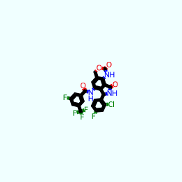 O=C1Nc2c(cc(NC(=O)c3cc(F)cc(C(F)(F)F)c3)c3c2C(=O)NC3c2ccc(F)cc2Cl)CO1